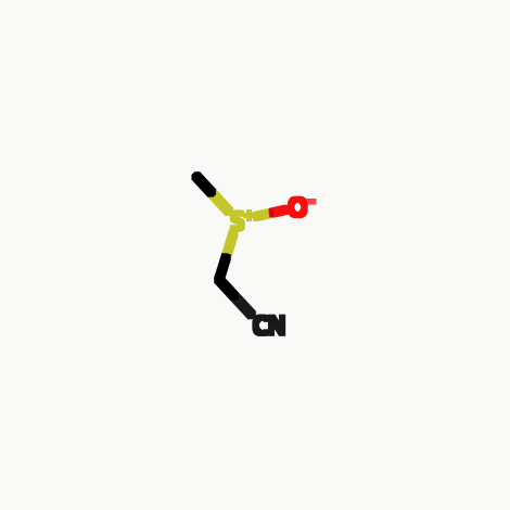 C[S+]([O-])CC#N